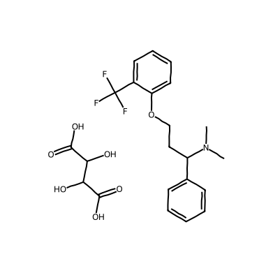 CN(C)C(CCOc1ccccc1C(F)(F)F)c1ccccc1.O=C(O)C(O)C(O)C(=O)O